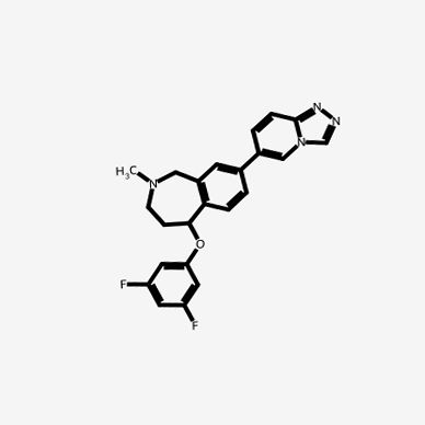 CN1CCC(Oc2cc(F)cc(F)c2)c2ccc(-c3ccc4nncn4c3)cc2C1